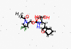 C=CC(=O)N1CC(F)(F)CC1COC(=O)NC(Cc1coc2ccccc12)B(O)O